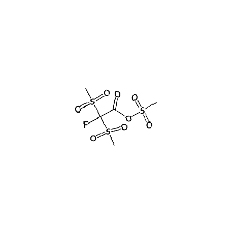 CS(=O)(=O)OC(=O)C(F)(S(C)(=O)=O)S(C)(=O)=O